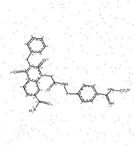 N=C(NC(=O)O)c1ccc(CNC(=O)Cn2c(=O)n(Cc3ccccc3)c(=O)c3ccc(C(N)=O)cc32)cc1